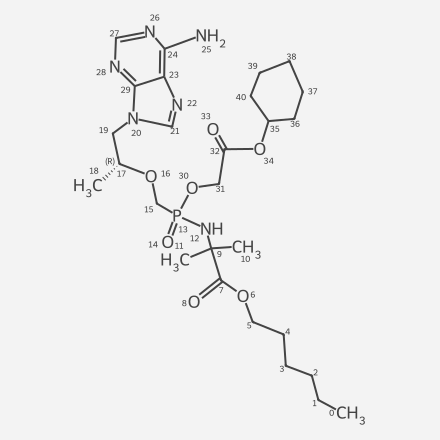 CCCCCCOC(=O)C(C)(C)NP(=O)(CO[C@H](C)Cn1cnc2c(N)ncnc21)OCC(=O)OC1CCCCC1